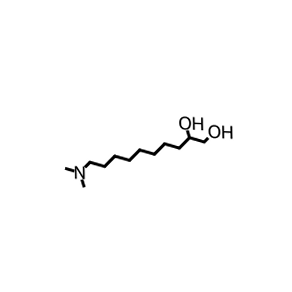 CN(C)CCCCCCCCC(O)CO